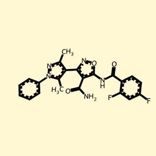 Cc1nn(-c2ccccc2)c(C)c1-c1noc(NC(=O)c2ccc(F)cc2F)c1C(N)=O